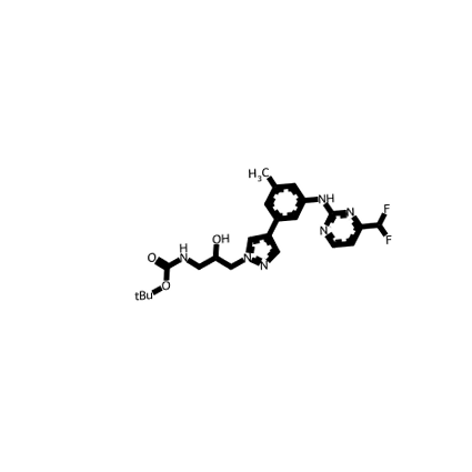 Cc1cc(Nc2nccc(C(F)F)n2)cc(-c2cnn(CC(O)CNC(=O)OC(C)(C)C)c2)c1